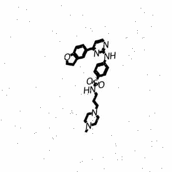 CN1CCN(CCCNS(=O)(=O)c2ccc(Nc3nccc(-c4ccc5c(c4)CCO5)n3)cc2)CC1